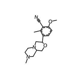 COc1ccc(C2CN3CCN(C)CC3CO2)c(C)c1C#N